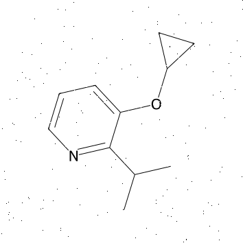 CC(C)c1ncccc1OC1CC1